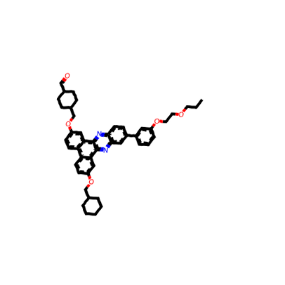 CCCOCCOc1cccc(-c2ccc3nc4c5cc(OCC6CCC(C=O)CC6)ccc5c5ccc(OCC6CCCCC6)cc5c4nc3c2)c1